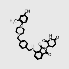 Cc1cc(C#N)ccc1N1CCN(Cc2ccc(CNc3cccc4c3C(=O)N(C3CCC(=O)NC3=O)C4=O)cc2)CC1